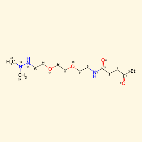 CCC(=O)CCC(=O)NCCOCCOCCNN(C)C